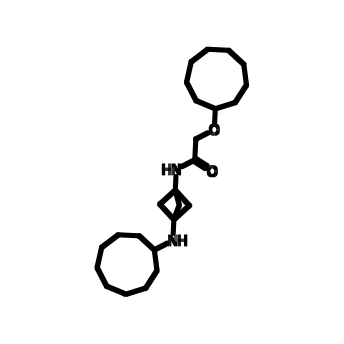 O=C(COC1CCCCCCCC1)NC12CC(NC3CCCCCCCC3)(C1)C2